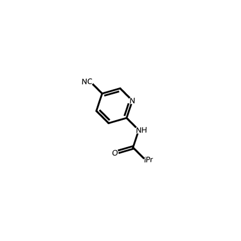 CC(C)C(=O)Nc1ccc(C#N)cn1